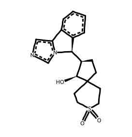 O=S1(=O)CCC2(CC[C@H]([C@@H]3c4ccccc4-c4cncn43)[C@@H]2O)CC1